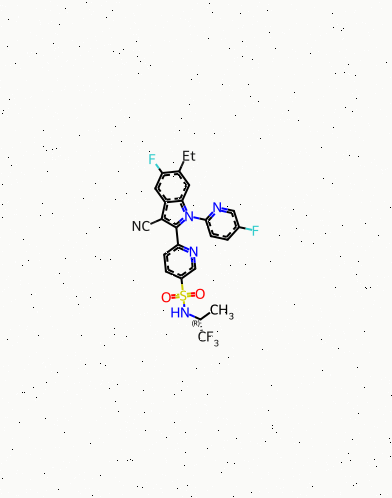 CCc1cc2c(cc1F)c(C#N)c(-c1ccc(S(=O)(=O)N[C@H](C)C(F)(F)F)cn1)n2-c1ccc(F)cn1